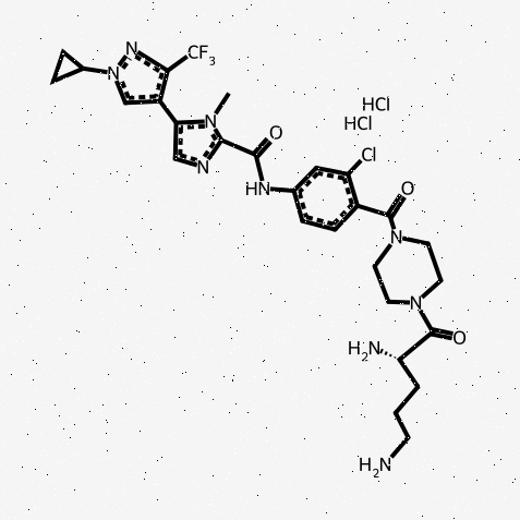 Cl.Cl.Cn1c(-c2cn(C3CC3)nc2C(F)(F)F)cnc1C(=O)Nc1ccc(C(=O)N2CCN(C(=O)[C@@H](N)CCCN)CC2)c(Cl)c1